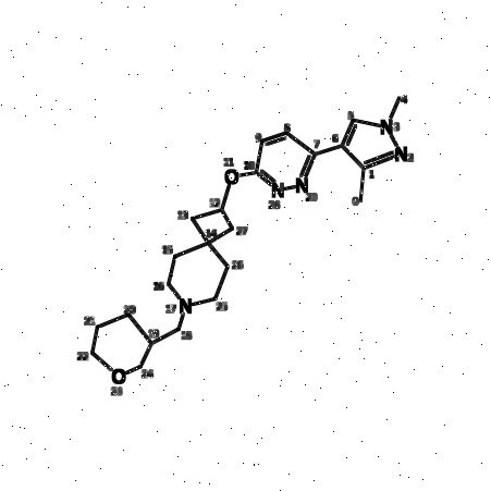 Cc1nn(C)cc1-c1ccc(OC2CC3(CCN(CC4CCCOC4)CC3)C2)nn1